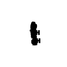 Cc1ccccc1C(=O)N1CCc2cc(-c3nc(NC(=O)Cc4cccc(OCCCNC(=O)OC(C)(C)C)c4)sc3C)ccc21